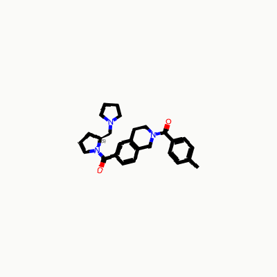 Cc1ccc(C(=O)N2CCc3cc(C(=O)N4CCC[C@H]4CN4CCCC4)ccc3C2)cc1